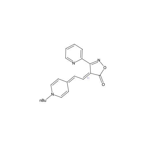 CCCCN1C=CC(=C/C=C2/C(=O)ON=C2c2ccccn2)C=C1